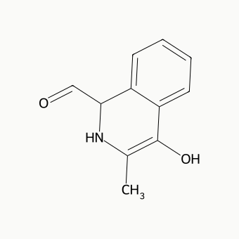 CC1=C(O)c2ccccc2C(C=O)N1